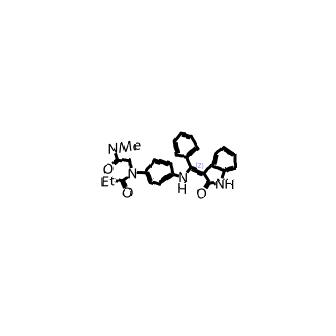 CCC(=O)N(CC(=O)NC)c1ccc(N/C(=C2\C(=O)Nc3ccccc32)c2ccccc2)cc1